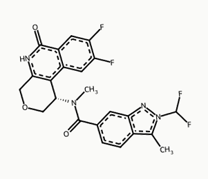 Cc1c2ccc(C(=O)N(C)[C@@H]3COCc4[nH]c(=O)c5cc(F)c(F)cc5c43)cc2nn1C(F)F